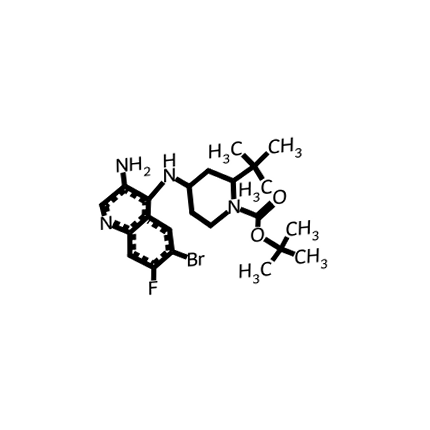 CC(C)(C)OC(=O)N1CCC(Nc2c(N)cnc3cc(F)c(Br)cc23)CC1C(C)(C)C